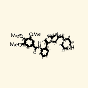 COc1cc(C(=O)Nc2ccccc2C2=CSC3=NC(CN4CCNCC4)CN23)cc(OC)c1OC